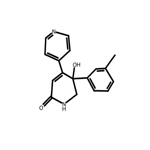 Cc1cccc(C2(O)CNC(=O)C=C2c2ccncc2)c1